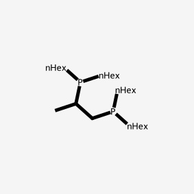 CCCCCCP(CCCCCC)CC(C)P(CCCCCC)CCCCCC